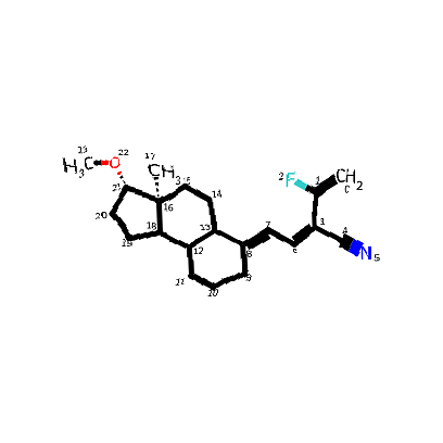 C=C(F)/C(C#N)=C\C=C1/CCCC2C1CC[C@@]1(C)C2CC[C@@H]1OC